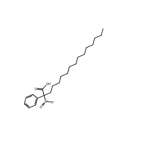 CCCCCCCCCCCCCCC(C(=O)O)(c1ccccc1)[N+](=O)[O-]